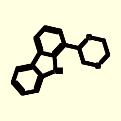 c1ccc2c(c1)[nH]c1c(C3COCCO3)cccc12